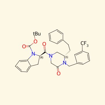 CC(C)(C)OC(=O)N1c2ccccc2C[C@@H]1C(=O)N1CC(=O)N(Cc2cccc(C(F)(F)F)c2)[C@@H](CCc2ccccc2)C1